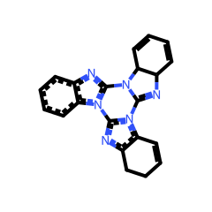 C1=CC2N=C3N(c4nc5ccccc5n4-c4nc5c(n43)C=CCC5)C2C=C1